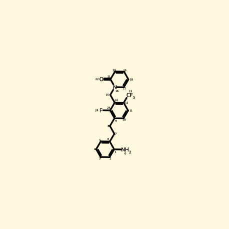 Nc1ccccc1CCc1ccc(C(F)(F)F)c(Cn2ccccc2=O)c1F